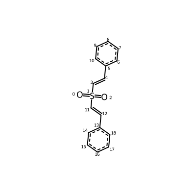 O=S(=O)(C=Cc1ccccc1)C=Cc1ccccc1